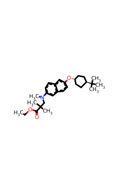 CCOC(=O)C(C)(C)CN(C)c1ccc2cc(O[C@H]3CC[C@H](C(C)(C)C)CC3)ccc2c1